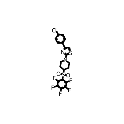 O=S(=O)(c1c(F)c(F)c(F)c(F)c1F)C1CCN(c2nc(-c3ccc(Cl)cc3)cs2)CC1